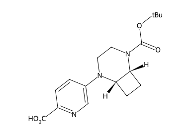 CC(C)(C)OC(=O)N1CCN(c2ccc(C(=O)O)nc2)[C@H]2CC[C@H]21